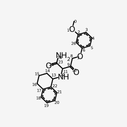 COc1cccc(OCC(=O)C(NC2CCCc3ccccc32)C(N)=O)c1